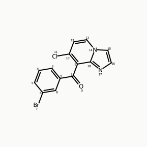 O=C(c1cccc(Br)c1)c1c(Cl)ccn2ccnc12